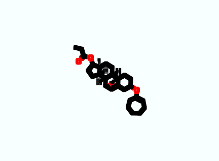 CCC(=O)OC1CC[C@H]2[C@@H]3CC=C4CC(OC5=CCCCCC5)CC[C@]4(CO)[C@@H]3CC[C@]12C